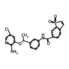 CC(Oc1cc(Cl)cnc1N)c1cccc(NC(=O)c2ccc3c(c2)S(=O)(=O)C=C3)c1